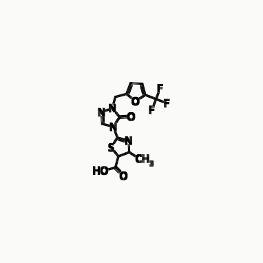 CC1N=C(n2cnn(Cc3ccc(C(F)(F)F)o3)c2=O)SC1C(=O)O